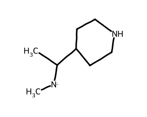 C[N]C(C)C1CCNCC1